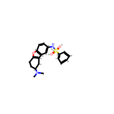 CN(C)C1CCc2oc3ccc(NS(=O)(=O)c4ccccc4)cc3c2C1